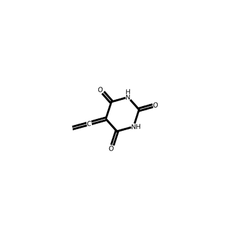 C=C=C1C(=O)NC(=O)NC1=O